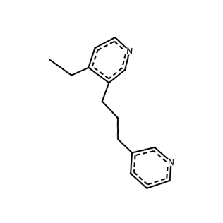 CCc1ccncc1CCCc1cccnc1